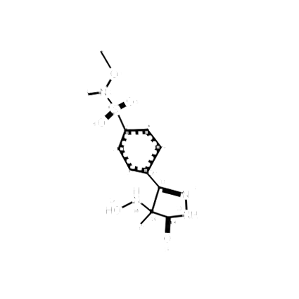 CON(C)S(=O)(=O)c1ccc(C2=NNC(=O)C2(C)NO)cc1